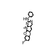 Cn1c(=O)c(Cc2ccc(F)cc2)cc2cnc(Nc3ccccc3)nc21